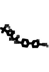 CC(C)(c1cc(NC(=O)Nc2ccc(-c3ccc(N)nc3)cc2)no1)C(F)(F)F